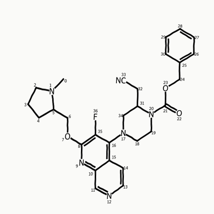 CN1CCCC1COc1nc2cnccc2c(N2CCN(C(=O)OCc3ccccc3)C(CC#N)C2)c1F